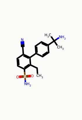 CCc1c(S(N)(=O)=O)ccc(C#N)c1-c1ccc(C(C)(C)N)cc1